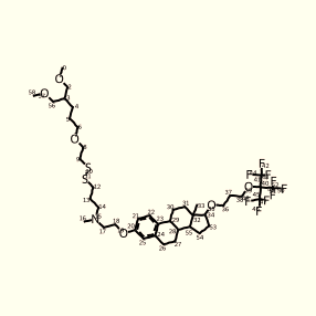 COCC(CCCOCCSSCCCN(C)CCOc1ccc2c(c1)CCC1C2CCC2(C)C(OCCCOC(C(F)(F)F)(C(F)(F)F)C(F)(F)F)CCC12)COC